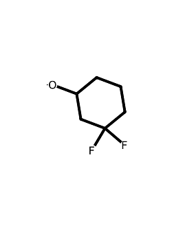 [O]C1CCCC(F)(F)C1